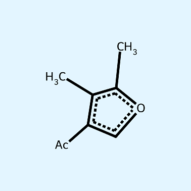 CC(=O)c1coc(C)c1C